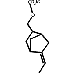 CC=C1CC2CC1CC2COC(=O)OCC